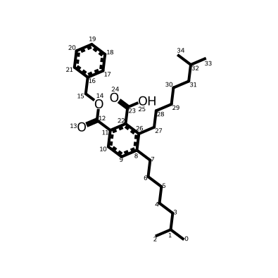 CC(C)CCCCCc1ccc(C(=O)OCc2ccccc2)c(C(=O)O)c1CCCCCC(C)C